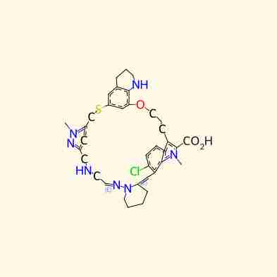 Cn1nc2cc1CSc1cc3c(c(c1)OCCCc1c(C(=O)O)n(C)c4c(c(Cl)ccc14)/C=C1\CCCCN1/N=C/CNC2)NCCC3